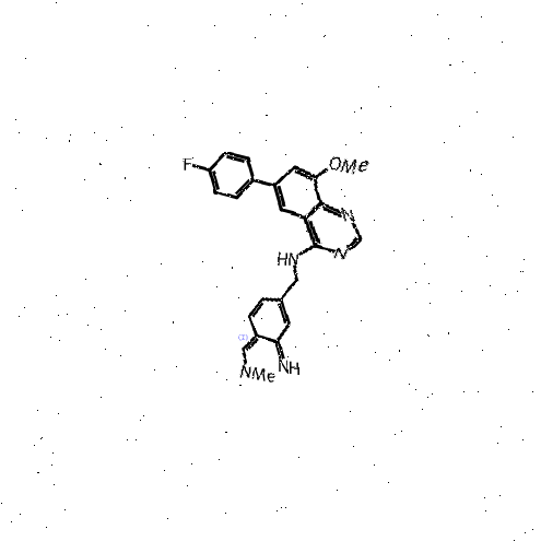 CN/C=C1/C=CC(CNc2ncnc3c(OC)cc(-c4ccc(F)cc4)cc23)=CC1=N